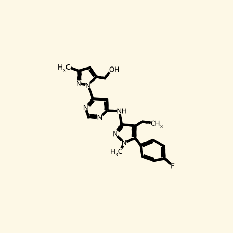 CCc1c(Nc2cc(-n3nc(C)cc3CO)ncn2)nn(C)c1-c1ccc(F)cc1